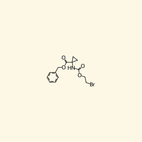 O=C(NC1(C(=O)OCc2ccccc2)CC1)OCCBr